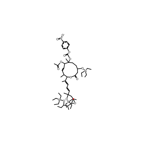 CCC(O[Si](CC)(CC)CC)C(C)C1OC1CC(C)(/C=C/C=C(\C)C1OC(=O)CC(O[Si](CC)(CC)CC)CCC(C)(OC(=O)Oc2ccc([N+](=O)[O-])cc2)C(OC(C)=O)/C=C/C1C)O[Si](CC)(CC)CC